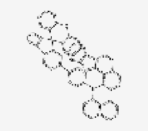 c1ccc2c(c1)Oc1ccccc1C21c2ccccc2-c2ccc(-c3ccc(N(c4cccc5ccccc45)c4cccc5ccc6c7ccccc7oc6c45)cc3)cc21